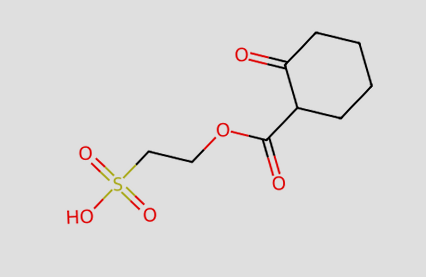 O=C1CCCCC1C(=O)OCCS(=O)(=O)O